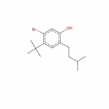 CC(C)CCc1cc(C(C)(C)C)c(Br)cc1O